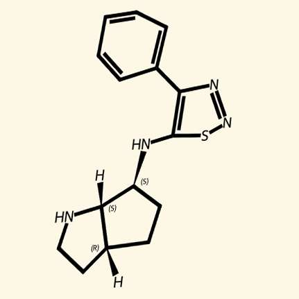 c1ccc(-c2nnsc2N[C@H]2CC[C@@H]3CCN[C@@H]32)cc1